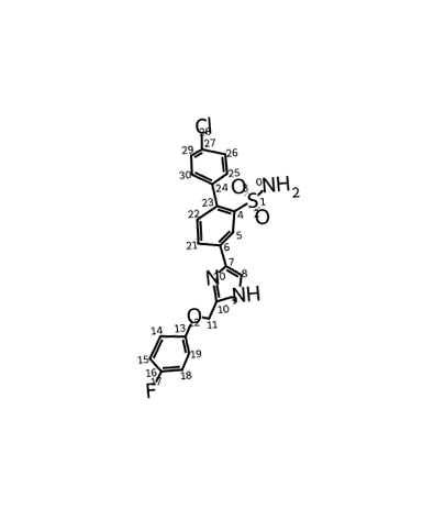 NS(=O)(=O)c1cc(-c2c[nH]c(COc3ccc(F)cc3)n2)ccc1-c1ccc(Cl)cc1